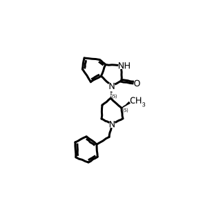 C[C@H]1CN(Cc2ccccc2)CC[C@@H]1n1c(=O)[nH]c2ccccc21